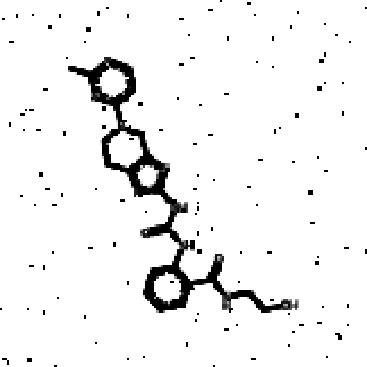 Cc1nccc(N2CCc3nc(NC(=O)Nc4ccccc4C(=O)NCCO)sc3C2)n1